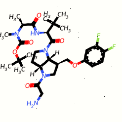 C[C@@H](C(=O)N[C@H](C(=O)N1CC[C@@H]2[C@H]1[C@@H](COc1ccc(F)c(F)c1)CN2C(=O)CN)C(C)(C)C)N(C)C(=O)OC(C)(C)C